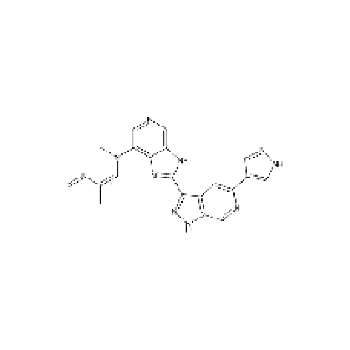 C=N/C(C)=C\N(C)c1cncc2[nH]c(-c3n[nH]c4cnc(-c5cn[nH]c5)cc34)nc12